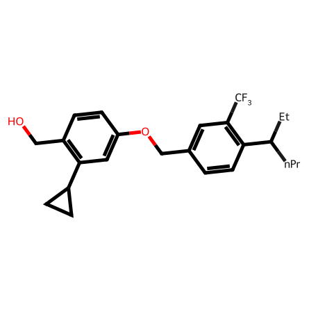 CCCC(CC)c1ccc(COc2ccc(CO)c(C3CC3)c2)cc1C(F)(F)F